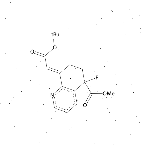 COC(=O)C1(F)CCC(=CC(=O)OC(C)(C)C)c2ncccc21